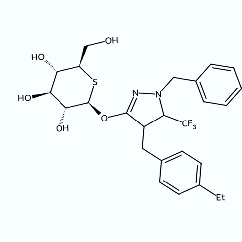 CCc1ccc(CC2C(O[C@@H]3S[C@H](CO)[C@@H](O)[C@H](O)[C@H]3O)=NN(Cc3ccccc3)C2C(F)(F)F)cc1